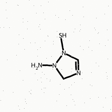 NN1CN=CN1S